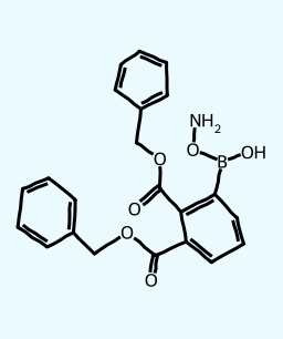 NOB(O)c1cccc(C(=O)OCc2ccccc2)c1C(=O)OCc1ccccc1